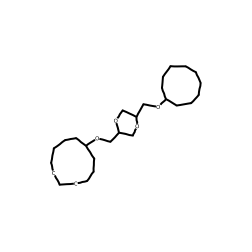 C1CCCCCC(OCC2COC(COC3CCCCCCCCC3)CO2)CCCC1